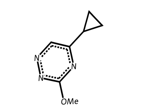 COc1nncc(C2CC2)n1